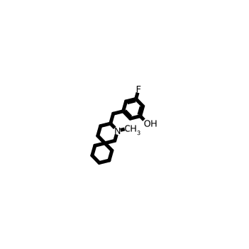 CN1CC2(CCCCC2)CCC1Cc1cc(O)cc(F)c1